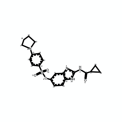 O=C(Nc1nc2cc(OS(=O)(=O)c3ccc(N4CCCC4)cc3)ccc2[nH]1)C1CC1